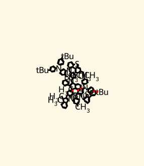 Cc1cc2c3c(c1)-n1c4c(c5cccc(c51)B3c1ccc(N(c3ccc(C(C)(C)C)cc3)c3ccc(C(C)(C)Cc5ccc6c(c5)sc5cccc(N7c8cc(N(c9ccc(C(C)(C)C)cc9)c9ccc(C(C)(C)C)cc9)ccc8B8c9c7cc(C)cc9-n7c9c(c%10cccc8c%107)C(C)(C)c7ccccc7-9)c56)cc3)cc1N2c1cccc2c1sc1ccccc12)C(C)(C)c1ccccc1-4